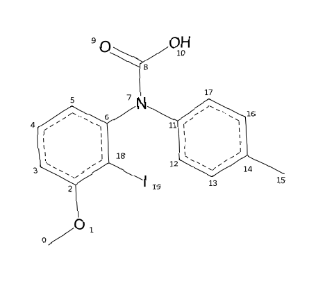 COc1cccc(N(C(=O)O)c2ccc(C)cc2)c1I